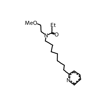 CCC(=O)N(CCCCCCCc1ccccn1)CCOC